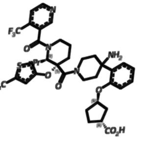 CCC[C@H]1N(C(=O)c2cnccc2C(F)(F)F)CCC[C@@]1(Oc1csc(C(F)(F)F)c1)C(=O)N1CCC(N)(c2ccccc2O[C@@H]2CC[C@@H](C(=O)O)C2)CC1